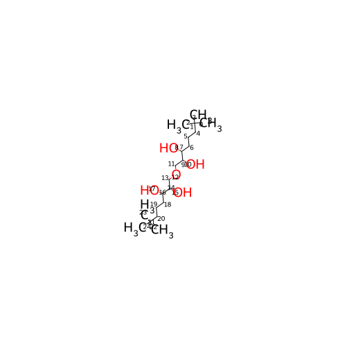 CC(C)(C)CCCC(O)C(O)COCC(O)C(O)CCCC(C)(C)C